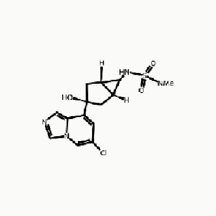 CNS(=O)(=O)N[C@H]1[C@@H]2C[C@](O)(c3cc(Cl)cn4cncc34)C[C@@H]21